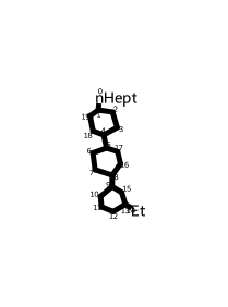 CCCCCCCC1CCC(C2CCC(C3CCCC(CC)C3)CC2)CC1